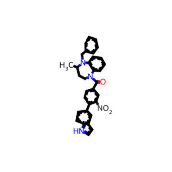 CC1CCN(C(=O)c2ccc(-c3ccc4[nH]ccc4c3)c([N+](=O)[O-])c2)c2ccccc2N1Cc1ccccc1